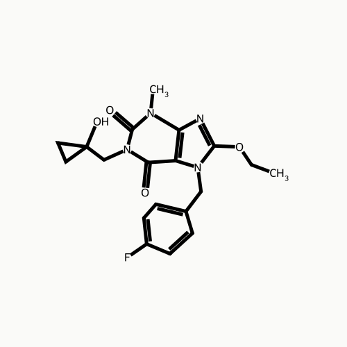 CCOc1nc2c(c(=O)n(CC3(O)CC3)c(=O)n2C)n1Cc1ccc(F)cc1